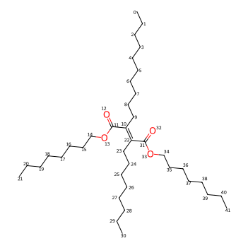 CCCCCCCCCCC(C(=O)OCCCCCCCC)=C(CCCCCCCC)C(=O)OCCCCCCCC